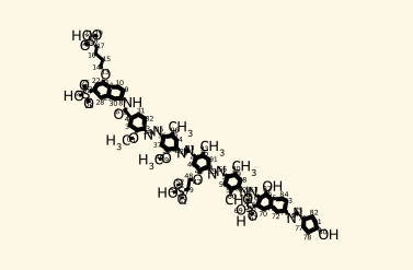 COc1cc(C(=O)Nc2ccc3c(OCCCCS(=O)(=O)O)cc(S(=O)(=O)O)cc3c2)ccc1N=Nc1cc(OC)c(N=Nc2cc(OCCS(=O)(=O)O)c(N=Nc3cc(C)c(N=Nc4c(S(=O)(=O)O)cc5cc(/N=N/c6ccc(O)cc6)ccc5c4O)cc3C)cc2C)cc1C